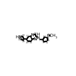 COc1cccc(CNc2cnc3cc(-c4cn[nH]c4)ccc3n2)c1